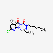 CCCCCCNC(=O)n1c(=O)c2c(C)cc(Cl)nc2n1CCCC